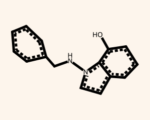 Oc1cccc2ccn(NCc3ccccc3)c12